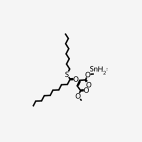 CCCCCCCCCC(=O)SCCCCCCCC.COC(=O)/C=C\C(=O)OC.[SnH2]